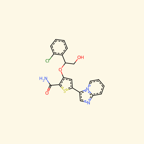 NC(=O)c1sc(-c2cnc3ccccn23)cc1OC(CO)c1ccccc1Cl